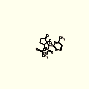 CC(=O)OC1CCC(=O)C1(C)C(c1nccc(C)n1)S(=O)(=O)O